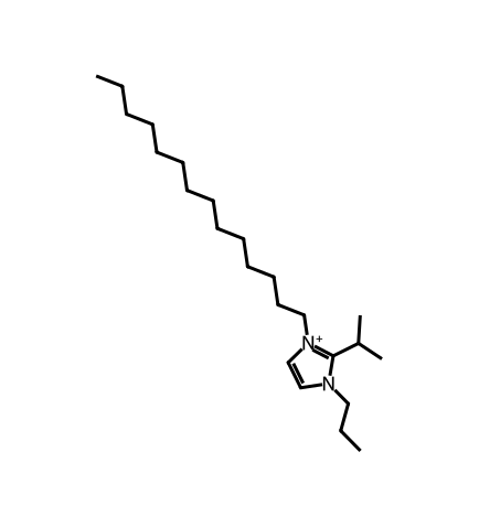 CCCCCCCCCCCCCC[n+]1ccn(CCC)c1C(C)C